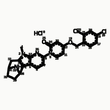 Cl.Cn1c2c(c3ccc(-n4ccc(OCc5ccc(Cl)cc5Cl)cc4=O)nc31)C1CCC(C2)N1